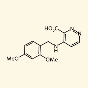 COc1ccc(CNc2ccnnc2C(=O)O)c(OC)c1